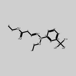 CCOC(=O)CC=NN(OCC)c1cccc(C(F)(F)F)c1